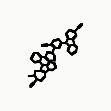 CC1Cc2c(c3ccccc3n2-c2ccccc2-c2cccc(-c3cc(-n4c5ccccc5c5cc(C#N)ccc54)ccc3C#N)c2)C=CC1C#N